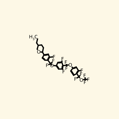 CCCC1CCC(c2ccc(C(F)(F)Oc3cc(F)c(C(F)(F)Oc4ccc(C(F)(F)OC(F)(F)F)c(F)c4)c(F)c3)c(F)c2)OC1